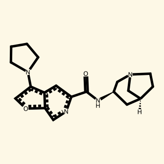 O=C(N[C@@H]1C[C@@H]2CCN(C2)C1)c1cc2c(N3CCCC3)coc2cn1